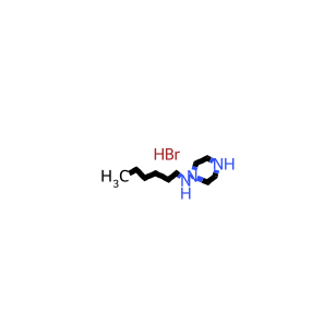 Br.CCCCCCNN1CCNCC1